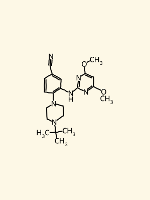 COc1cc(OC)nc(Nc2cc(C#N)ccc2N2CCN(C(C)(C)C)CC2)n1